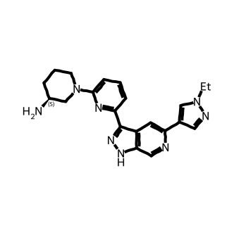 CCn1cc(-c2cc3c(-c4cccc(N5CCC[C@H](N)C5)n4)n[nH]c3cn2)cn1